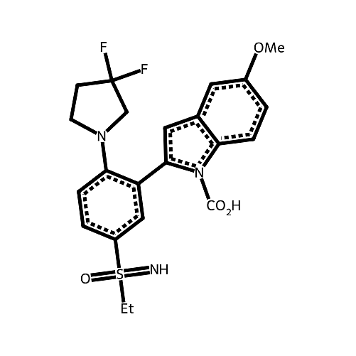 CCS(=N)(=O)c1ccc(N2CCC(F)(F)C2)c(-c2cc3cc(OC)ccc3n2C(=O)O)c1